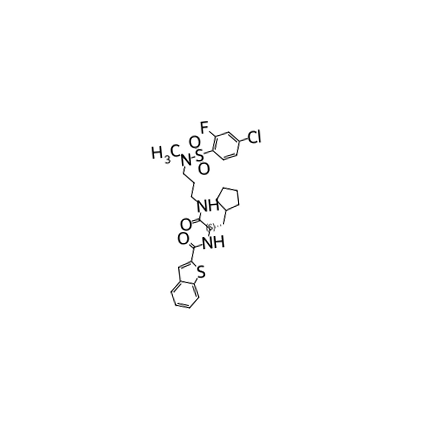 CN(CCCNC(=O)[C@H](CC1CCCC1)NC(=O)c1cc2ccccc2s1)S(=O)(=O)c1ccc(Cl)cc1F